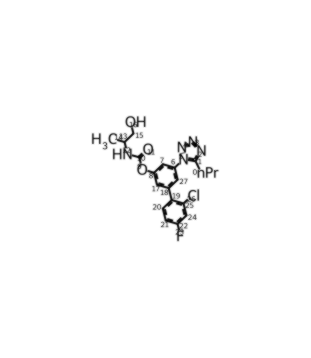 CCCc1nnnn1-c1cc(OC(=O)NC(C)CO)cc(-c2ccc(F)cc2Cl)c1